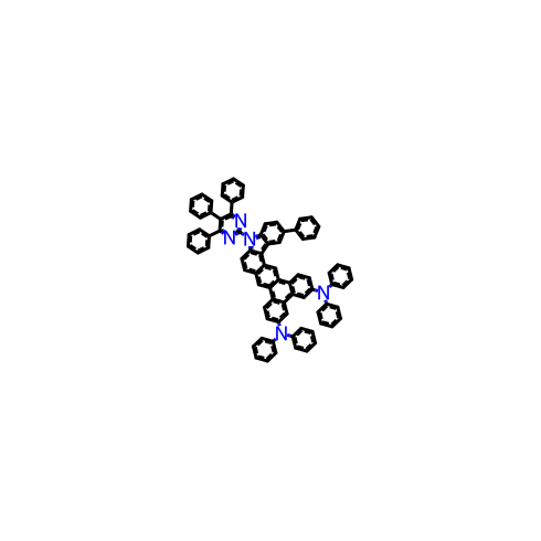 c1ccc(-c2ccc3c(c2)c2c4cc5c6ccc(N(c7ccccc7)c7ccccc7)cc6c6cc(N(c7ccccc7)c7ccccc7)ccc6c5cc4ccc2n3-c2nc(-c3ccccc3)c(-c3ccccc3)c(-c3ccccc3)n2)cc1